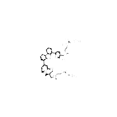 COc1nc(-c2cccc(-c3cccc(-c4ccn5c(=O)c(CN(C)CCNC(=O)OC(C)(C)C)cnc5c4)c3Cl)c2Cl)ccc1CN(C)CCNC(=O)OC(C)(C)C